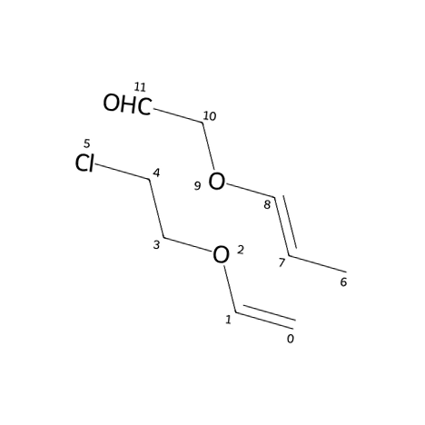 C=COCCCl.CC=COCC=O